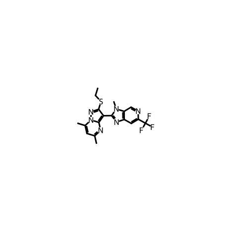 CCSc1nn2c(C)cc(C)nc2c1-c1nc2cc(C(F)(F)F)ncc2n1C